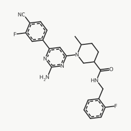 CC1CCC(C(=O)NCc2ccccc2F)CN1c1cc(-c2ccc(C#N)c(F)c2)nc(N)n1